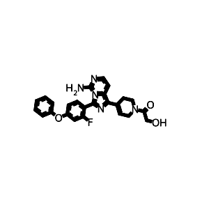 Nc1nccc2c(C3=CCN(C(=O)CO)CC3)nc(-c3ccc(Oc4ccccc4)cc3F)n12